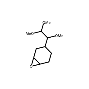 CO[C](OC)C(OC)C1CCC2OC2C1